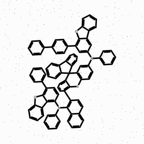 c1ccc(-c2ccc(-c3cc(N(c4ccccc4)c4ccc5c(c4)C4(c6ccccc6-c6ccccc64)c4cccc(-c6ccc7ccccc7c6N(c6ccccc6)c6ccc(-c7ccccc7)c7oc8ccccc8c67)c4S5)cc4c3oc3ccccc34)cc2)cc1